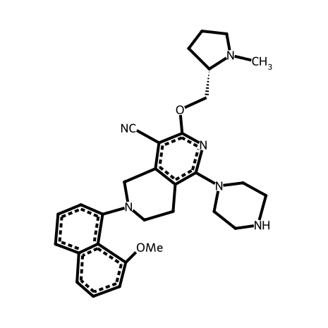 COc1cccc2cccc(N3CCc4c(N5CCNCC5)nc(OC[C@@H]5CCCN5C)c(C#N)c4C3)c12